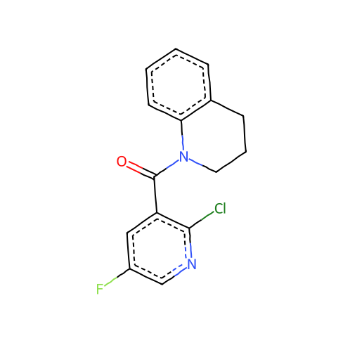 O=C(c1cc(F)cnc1Cl)N1CCCc2ccccc21